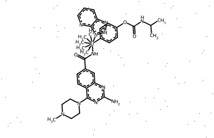 CC(C)NC(=O)Oc1cc[c]([U]([CH3])([CH3])([CH3])([CH3])([CH3])([NH]C(=O)c2ccc3c(N4CCN(C)CC4)nc(N)nc3c2)[n]2nnc3cccnc32)cc1